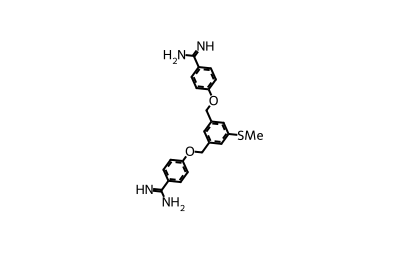 CSc1cc(COc2ccc(C(=N)N)cc2)cc(COc2ccc(C(=N)N)cc2)c1